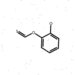 [O]c1ccccc1OC=S